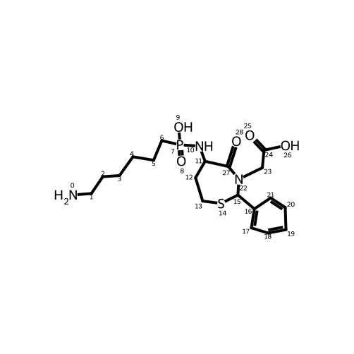 NCCCCCCP(=O)(O)NC1CCSC(c2ccccc2)N(CC(=O)O)C1=O